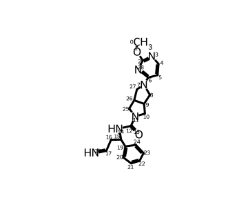 COc1nccc(N2CC3CN(C(=O)NC(CC=N)c4ccccc4)CC3C2)n1